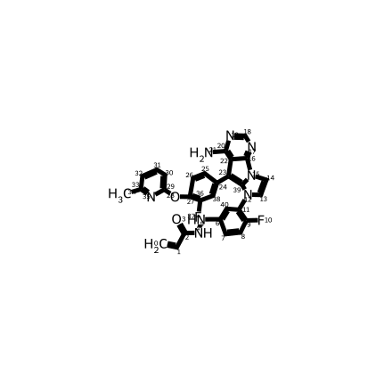 C=CC(=O)NNc1ccc(F)c(-n2ccn3c4ncnc(N)c4c(-c4ccc(Oc5cccc(C)n5)c(F)c4)c23)c1